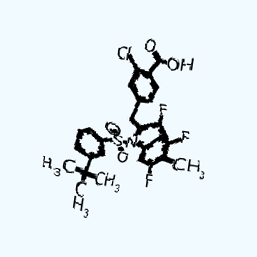 Cc1c(F)cc2c(c1F)c(F)c(Cc1ccc(C(=O)O)c(Cl)c1)n2S(=O)(=O)c1cccc(C(C)(C)C)c1